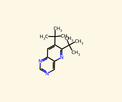 CC(C)(C)c1cc2ncncc2nc1C(C)(C)C